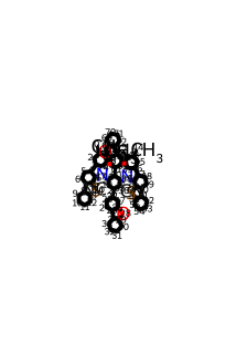 Cc1cc2c3ccc4c5ccccc5sc4c3n(-c3c(C#N)c(-c4ccc5c(c4)oc4ccccc45)c(C#N)c(-n4c5cc(C)c(C)cc5c5ccc6c7ccccc7sc6c54)c3-c3ccc4c(c3)oc3ccccc34)c2cc1C